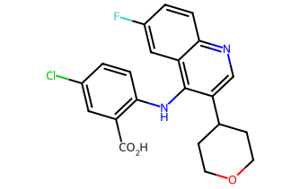 O=C(O)c1cc(Cl)ccc1Nc1c(C2CCOCC2)cnc2ccc(F)cc12